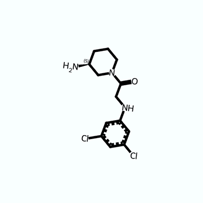 N[C@H]1CCCN(C(=O)CNc2cc(Cl)cc(Cl)c2)C1